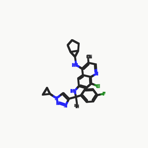 [2H]C(Nc1cc(Cl)c2ncc(C#N)c(NC3C4CCCC43)c2c1)(c1ccc(F)cc1)c1cn(C2CC2)nn1